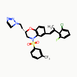 C/C(=C\c1ccc2c(c1)N(S(=O)(=O)c1cccc(C(F)(F)F)c1)C[C@H](CCn1ccnn1)O2)c1c(F)cccc1Cl